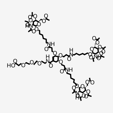 CC(=O)N[C@H]1[C@H](OCCCCCCNC(=O)CCO[C@@H]2[C@H](OCCC(=O)NCCCCCCO[C@@H]3O[C@H](COC(C)=O)[C@H](OC(C)=O)[C@H](OC(C)=O)[C@H]3NC(C)=O)C=C(C(=O)NCCOCCOCCOCCC(=O)O)C[C@H]2OCCC(=O)NCCCCCCO[C@@H]2O[C@H](COC(C)=O)[C@H](OC(C)=O)[C@H](OC(C)=O)[C@H]2NC(C)=O)O[C@H](COC(C)=O)[C@H](OC(C)=O)[C@@H]1OC(C)=O